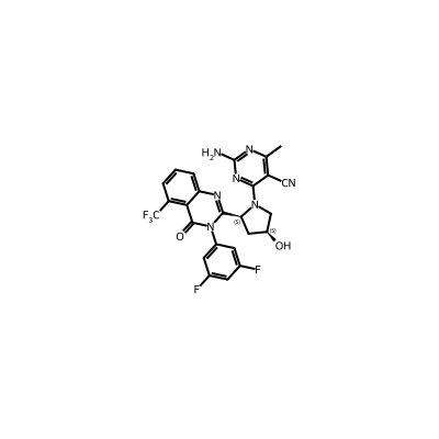 Cc1nc(N)nc(N2C[C@@H](O)C[C@H]2c2nc3cccc(C(F)(F)F)c3c(=O)n2-c2cc(F)cc(F)c2)c1C#N